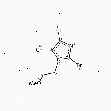 COCCn1c(Br)nc(Cl)c1Cl